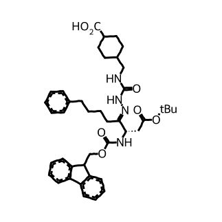 CC(C)(C)OC(=O)C[C@H](NC(=O)OCC1c2ccccc2-c2ccccc21)/C(CCCCc1ccccc1)=N/NC(=O)NCC1CCC(C(=O)O)CC1